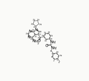 Cc1ccc(CNC(=O)Nc2cccc(C(=O)c3cn(C4CCCC4)c4ncnc(N)c34)c2)cc1